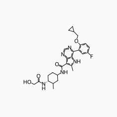 Cc1[nH]c2c(-c3cc(F)ccc3OCC3CC3)ncnc2c1C(=O)NC1CC[C@@H](NC(=O)CO)C(C)C1